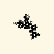 C=CC(=O)Nc1cc(Nc2cc(Nc3cc(F)cc(Br)c3)ncn2)c(OC)cc1N(C)CC(C)(C)N